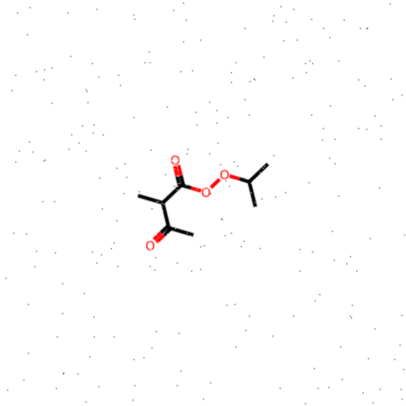 CC(=O)C(C)C(=O)OOC(C)C